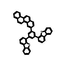 c1ccc2c(c1)ccc1c3cc(-c4cc(-c5cccc6c5sc5ccccc56)cc(-c5cccc6c5sc5ccccc56)c4)ccc3ccc21